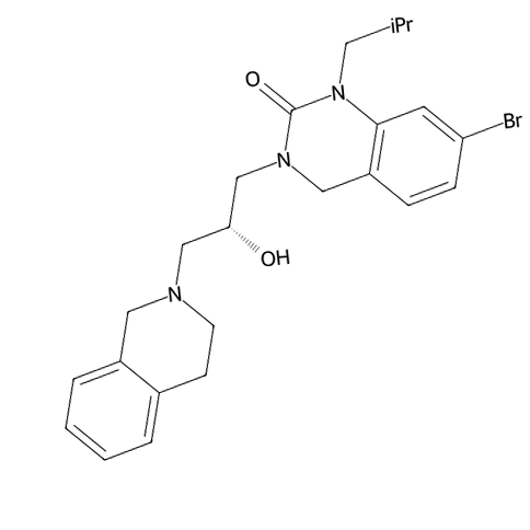 CC(C)CN1C(=O)N(C[C@H](O)CN2CCc3ccccc3C2)Cc2ccc(Br)cc21